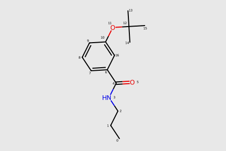 CCCNC(=O)c1cccc(OC(C)(C)C)c1